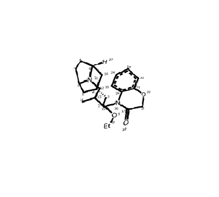 CCOCC[C@@H]1CC2CC[C@H](C1)N2CC(C)CN1C(=O)COc2ccccc21